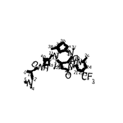 C=C(CN(C)C)C(=O)NC12CC(CN3C[C@H]4CC(=O)N(c5cc(C(F)(F)F)cc(C)n5)[C@@H]4C(=O)N(C)c4cccc(C)c43)(C1)C2